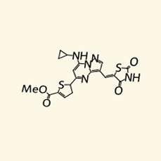 COC(=O)C1=CCC(c2cc(NC3CC3)n3ncc(/C=C4\SC(=O)NC4=O)c3n2)S1